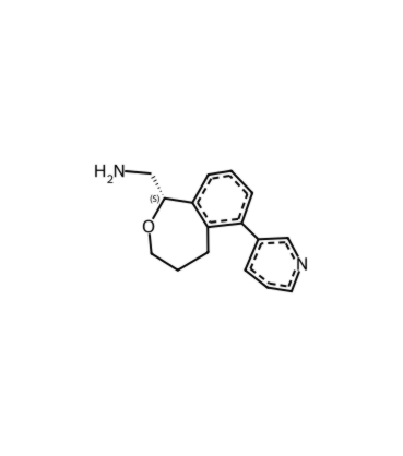 NC[C@H]1OCCCc2c(-c3cccnc3)cccc21